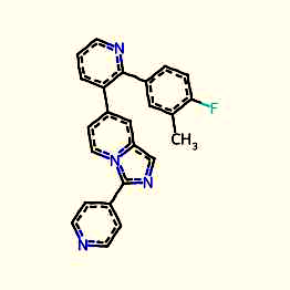 Cc1cc(-c2ncccc2-c2ccn3c(-c4ccncc4)ncc3c2)ccc1F